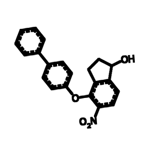 O=[N+]([O-])c1ccc2c(c1Oc1ccc(-c3ccccc3)cc1)CCC2O